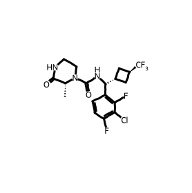 C[C@@H]1C(=O)NCCN1C(=O)NC(c1ccc(F)c(Cl)c1F)[C@H]1C[C@H](C(F)(F)F)C1